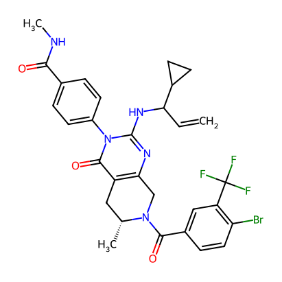 C=CC(Nc1nc2c(c(=O)n1-c1ccc(C(=O)NC)cc1)C[C@@H](C)N(C(=O)c1ccc(Br)c(C(F)(F)F)c1)C2)C1CC1